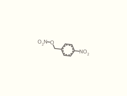 O=[N+]([O-])OCc1ccc([N+](=O)[O-])cc1